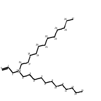 C=CCN(CCCCCCCCCCCC)CCCCCCCCCCCC